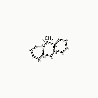 C.c1ccc2cc3ccccc3cc2c1